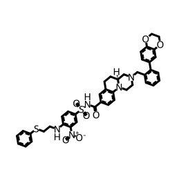 O=C(NS(=O)(=O)c1ccc(NCCSc2ccccc2)c([N+](=O)[O-])c1)c1ccc2c(c1)CC[C@H]1CN(Cc3ccccc3-c3ccc4c(c3)OCCO4)CCN21